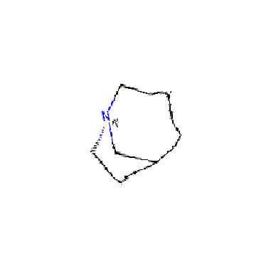 [CH]1CC2CC[N@](C1)C2